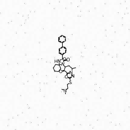 CC(C)CC(C(=O)c1nnc(SCCN(C)C)o1)N(C=O)C1(NC(=O)c2ccc(-c3ccccc3)cc2)CCCCC1